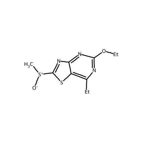 CCOc1nc(CC)c2sc([S+](C)[O-])nc2n1